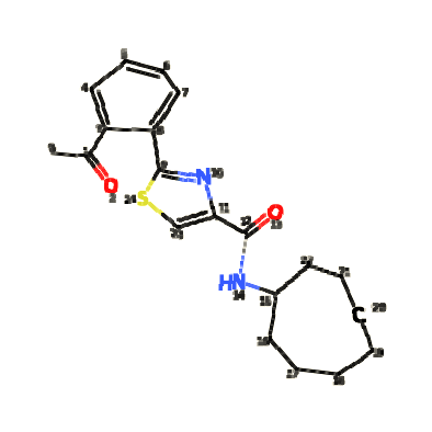 CC(=O)c1ccccc1-c1nc(C(=O)NC2CCCCCCC2)cs1